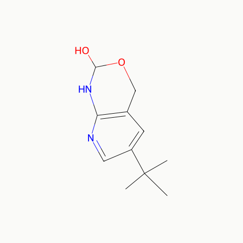 CC(C)(C)c1cnc2c(c1)COC(O)N2